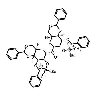 CC(C)(C)[Si](C)(C)O[C@H]1[C@@H](OCc2ccccc2)[C@@H]2OC(c3ccccc3)OC[C@H]2O[C@@H]1[S+]([O-])[C@H]1O[C@@H]2COC(c3ccccc3)O[C@H]2[C@H](OCc2ccccc2)[C@@H]1O[Si](C)(C)C(C)(C)C